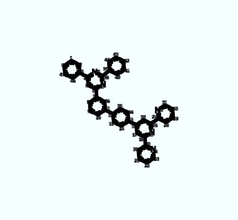 c1ccc(-c2cc(-c3cccc(-c4ccc(-c5cc(-c6ccccn6)nc(-c6ccccn6)c5)cc4)c3)nc(-c3ccccc3)n2)cc1